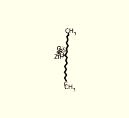 CCCCCCCCCCCC(CCCCCCCC)OP([O-])(=S)[S-].[Zn+2]